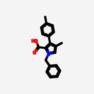 Cc1ccc(-c2c(C)cn(Cc3ccccc3)c2C(=O)O)cc1